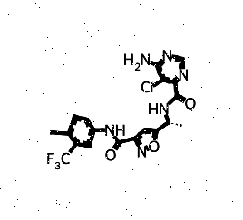 Cc1ccc(NC(=O)c2cc([C@@H](C)NC(=O)c3ncnc(N)c3Cl)on2)cc1C(F)(F)F